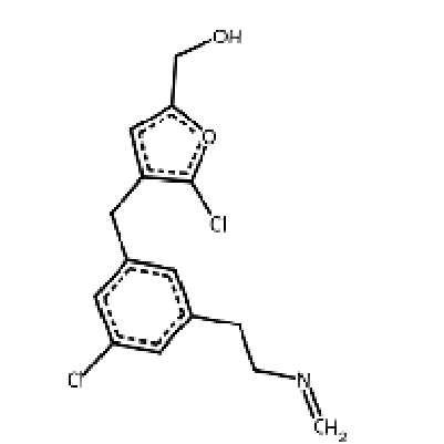 C=NCCc1cc(Cl)cc(Cc2cc(CO)oc2Cl)c1